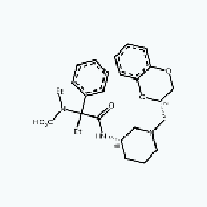 CCN(C(=O)O)C(CC)(C(=O)N[C@H]1CCCN(C[C@H]2COc3ccccc3O2)C1)c1ccccc1